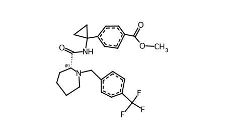 COC(=O)c1ccc(C2(NC(=O)[C@H]3CCCCN3Cc3ccc(C(F)(F)F)cc3)CC2)cc1